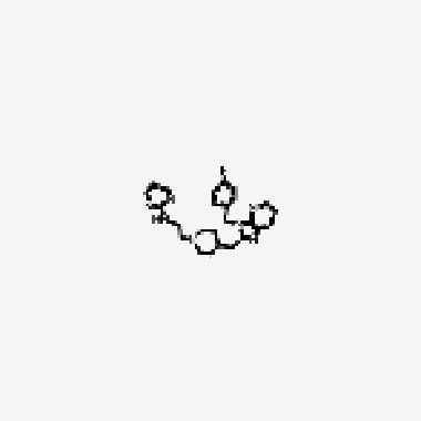 Fc1ccc(Cn2c(CC3CCN(CCNc4ncccn4)CC3)nc3cccnc32)cc1